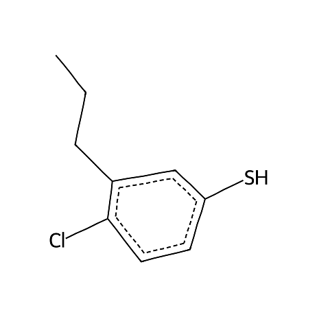 CCCc1cc(S)ccc1Cl